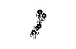 O=C1CCC(N2Cc3ccc(CNC(=O)O[C@@H]4CCC[C@H](c5ccccc5C(F)(F)F)C4)cc3C2=O)C(=O)N1